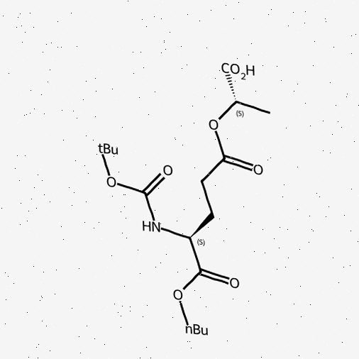 CCCCOC(=O)[C@H](CCC(=O)O[C@@H](C)C(=O)O)NC(=O)OC(C)(C)C